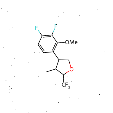 COc1c(C2COC(C(F)(F)F)C2C)ccc(F)c1F